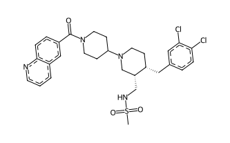 CS(=O)(=O)NC[C@@H]1CN(C2CCN(C(=O)c3ccc4ncccc4c3)CC2)CC[C@@H]1Cc1ccc(Cl)c(Cl)c1